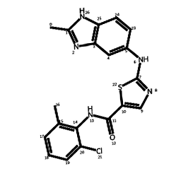 Cc1nc2cc(Nc3ncc(C(=O)Nc4c(C)cccc4Cl)s3)ccc2[nH]1